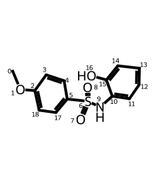 COc1ccc(S(=O)(=O)Nc2ccccc2O)cc1